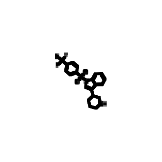 O=S(=O)(c1ccc(C(F)(F)F)cc1)n1cc(C2CCCNC2)c2ccccc21